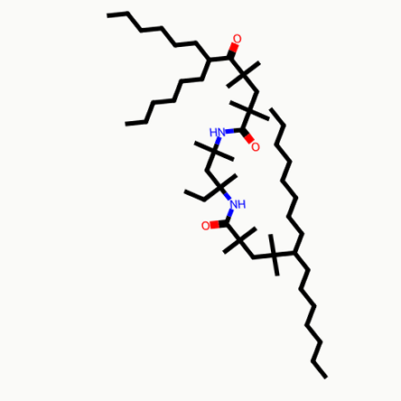 CCCCCCCCC(CCCCCCC)C(C)(C)CC(C)(C)C(=O)NC(C)(CC)CC(C)(C)NC(=O)C(C)(C)CC(C)(C)C(=O)C(CCCCCC)CCCCCC